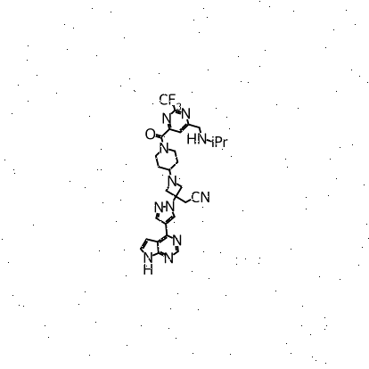 CC(C)NCc1cc(C(=O)N2CCC(N3CC(CC#N)(n4cc(-c5ncnc6[nH]ccc56)cn4)C3)CC2)nc(C(F)(F)F)n1